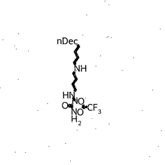 CCCCCCCCCCCCCCNCCCCNN(OC(=O)C(F)(F)F)C(N)=O